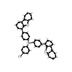 Clc1ccc(N(c2ccc(-c3cccc4c3oc3ccccc34)cc2)c2ccc(-c3cccc4c3oc3ccccc34)cc2)cc1